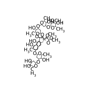 COC(=O)[C@@H](OC)[C@@H]1Cc2cc3cc(OC4CC(OC5CC(O)C(O)C(C)O5)C(O)C(C)O4)c(C)c(O)c3c(O)c2C(=O)[C@H]1OC1CC(OC2CC(OC3CC(C)(O)C(O)C(C)O3)C(O)C(C)O2)C(O)C(C)O1